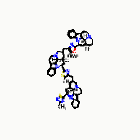 CCC12C=C(c3nc(CC4CN5CCc6c7n(c8ccccc68)C(c6nc(C)ns6)=C[C@](CC)(C4)[C@@H]75)c(C)s3)n3c4c(c5ccccc53)CCN(CC(Cc3nc(C5=C[C@]6(CC)CCCN7CCc8c(n5c5ccccc85)[C@@H]76)oc3OC)C1)[C@H]42